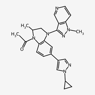 CC(=O)N1c2ccc(-c3cnn(C4CC4)c3)cc2N(c2nn(C)c3ccncc23)CC1C